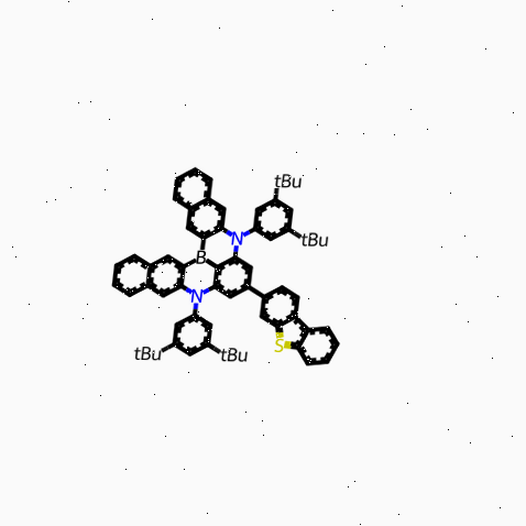 CC(C)(C)c1cc(N2c3cc4ccccc4cc3B3c4cc5ccccc5cc4N(c4cc(C(C)(C)C)cc(C(C)(C)C)c4)c4cc(-c5ccc6c(c5)sc5ccccc56)cc2c43)cc(C(C)(C)C)c1